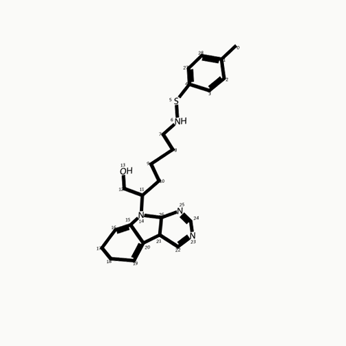 Cc1ccc(SNCCCCC(CO)N2C3=CCCC=C3C3C=NC=NC32)cc1